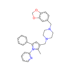 Cc1c(CN2CCN(Cc3ccc4c(c3)OCO4)CC2)cc(-c2ccccc2)n1-c1ccccn1